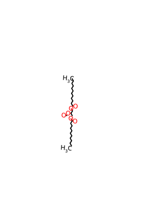 CCCCCCCCCCCC(=O)OCC(COC(=O)CCCCCCCCCCC)OC=O